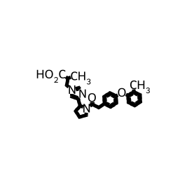 Cc1ccccc1Oc1ccc(CC(=O)N2CCCC2c2cn(CC(C)C(=O)O)cn2)cc1